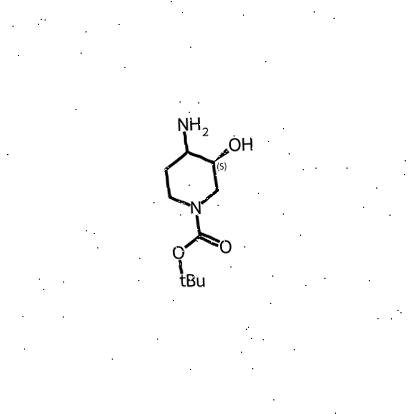 CC(C)(C)OC(=O)N1CCC(N)[C@@H](O)C1